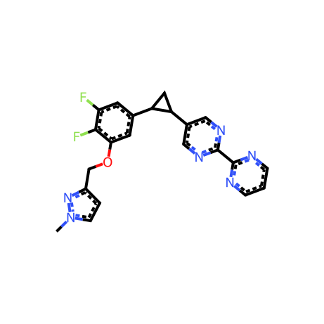 Cn1ccc(COc2cc(C3CC3c3cnc(-c4ncccn4)nc3)cc(F)c2F)n1